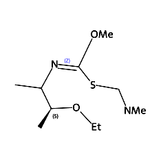 CCO[C@@H](C)C(C)/N=C(/OC)SCNC